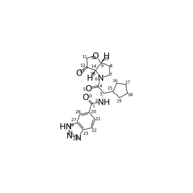 O=C(N[C@H](C(=O)N1CC[C@H]2OCC(=O)[C@H]21)C1CCCC1)c1ccc2nn[nH]c2c1